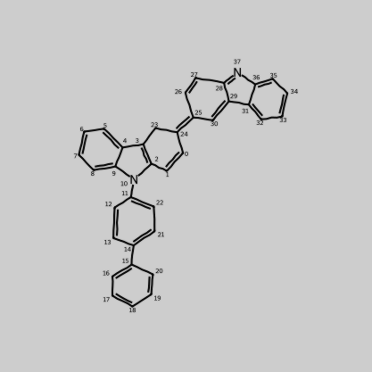 C1=Cc2c(c3ccccc3n2-c2ccc(-c3ccccc3)cc2)CC1=c1ccc2c(c1)-c1ccccc1N=2